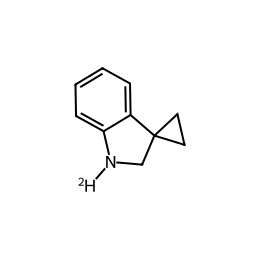 [2H]N1CC2(CC2)c2ccccc21